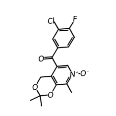 Cc1c2c(c(C(=O)c3ccc(F)c(Cl)c3)c[n+]1[O-])COC(C)(C)O2